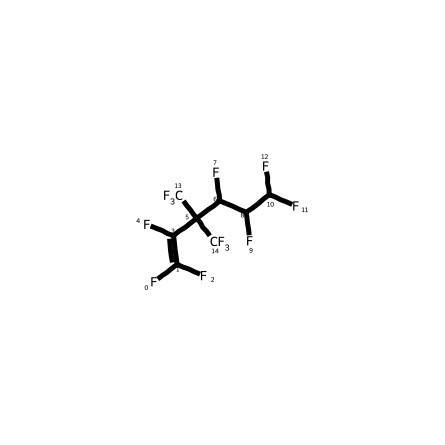 FC(F)=C(F)C(C(F)C(F)C(F)F)(C(F)(F)F)C(F)(F)F